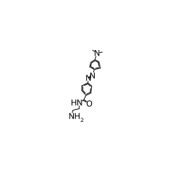 CN(C)c1ccc(/N=N/c2ccc(C(=O)NCCN)cc2)cc1